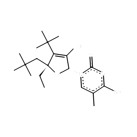 CC[C@]1(CC(C)(C)C)O[C@@H](n2cc(C)c(N)nc2=O)C(O)=C1C(C)(C)C